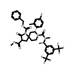 COC(=O)C1CC2(CCN(C(=O)N(C)[C@H](C)c3cc(C(F)(F)F)cc(C(F)(F)F)c3)[C@@H](c3ccc(F)cc3C)C2)N(C(=O)OCc2ccccc2)C1=O